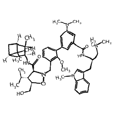 COc1c(CN2O[C@@H](CO)[C@H](C(C)C)[C@H]2C(=O)N[C@H]2C[C@H]3C[C@@H]([C@@H]2C)C3(C)C)cccc1-c1cc(C(=O)N[C@H](Cc2cn(C)c3ccccc23)CN(C)C)cc(N(C)C)c1